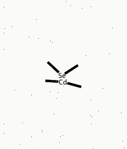 C[Se]C.[CH3][Cd][CH3]